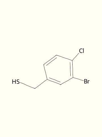 SCc1ccc(Cl)c(Br)c1